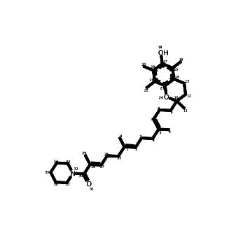 C/C(=C\CC/C(C)=C/CCC1(C)CCc2c(C)c(O)c(C)c(C)c2O1)CC/C=C(\C)C(=O)N1CCCCC1